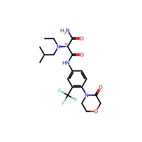 CCN(CC(C)C)[C@@H](C(N)=O)C(=O)Nc1ccc(N2CCOCC2=O)c(C(F)(F)F)c1